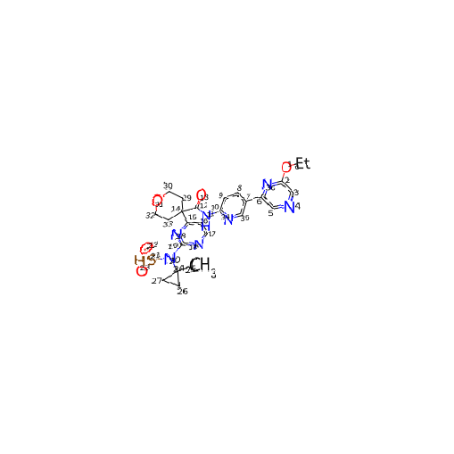 CCOc1cncc(-c2ccc(NC(=O)C3(c4ccnc(N([SH](=O)=O)C5(C)CC5)n4)CCOCC3)nc2)n1